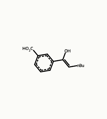 CCCCC=C(O)c1cccc(C(=O)O)c1